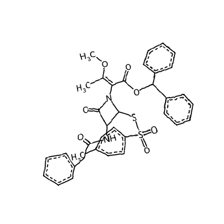 COC(C)=C(C(=O)OC(c1ccccc1)c1ccccc1)N1C(=O)C(NC(=O)Cc2ccccc2)C1SS(=O)(=O)c1ccc(C)cc1